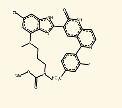 CN(CCCN(C)c1nc(Cl)cc2[nH]c(-c3cc4c(-c5ccc(C(=O)O)cc5F)nccc4[nH]c3=O)nc12)C(=O)OC(C)(C)C